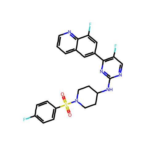 O=S(=O)(c1ccc(F)cc1)N1CCC(Nc2ncc(F)c(-c3cc(F)c4ncccc4c3)n2)CC1